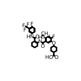 COc1cc(F)c(OC2CCC(C(=O)O)CC2)cc1C(=O)NC1=C(C(=O)Nc2ccc(F)c(C(F)(F)F)c2)CCCC1